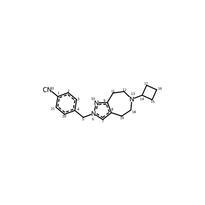 [C-]#[N+]c1ccc(Cn2cc3c(n2)CCN(C2CCC2)CC3)cc1